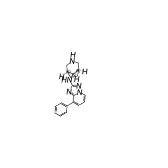 c1ccc(-c2cccn3nc(N[C@@H]4[C@@H]5CC[C@H]4CNC5)nc23)cc1